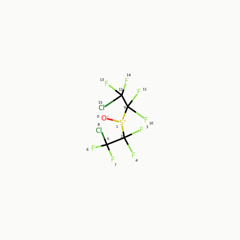 [O-][S+](C(F)(F)C(F)(F)Cl)C(F)(F)C(F)(F)Cl